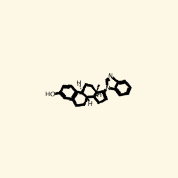 C[C@]12CC[C@@H]3c4ccc(O)cc4CC[C@H]3[C@@H]1CC=C2n1cnc2ccccc21